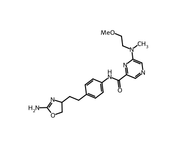 COCCN(C)c1cncc(C(=O)Nc2ccc(CCC3COC(N)=N3)cc2)n1